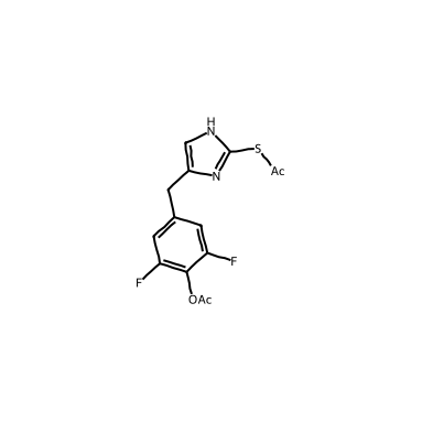 CC(=O)Oc1c(F)cc(Cc2c[nH]c(SC(C)=O)n2)cc1F